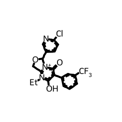 CCn1c(O)c(-c2cccc(C(F)(F)F)c2)c(=O)[n+]2c1COC2c1ccc(Cl)nc1